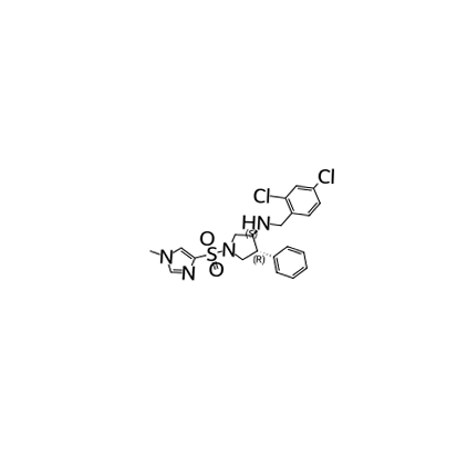 Cn1cnc(S(=O)(=O)N2C[C@@H](NCc3ccc(Cl)cc3Cl)[C@H](c3ccccc3)C2)c1